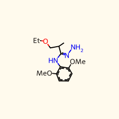 CCOCC(C)/C(=N\N)Nc1c(OC)cccc1OC